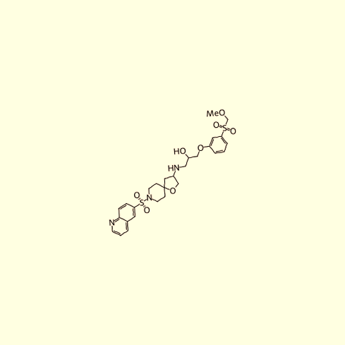 COCS(=O)(=O)c1cccc(OCC(O)CNC2COC3(CCN(S(=O)(=O)c4ccc5ncccc5c4)CC3)C2)c1